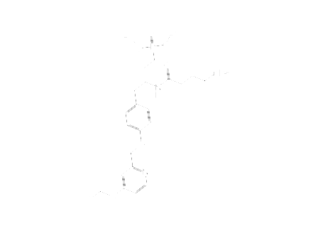 CCCCCCCCCCCCCC(=O)N[C@@H](CCP(=O)(OCC)OCC)Cc1ccc(OCc2cc(OCC(F)(F)F)ccn2)cc1